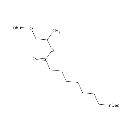 CCCCCCCCCCCCCCCCCC(=O)OC(C)COCCCC